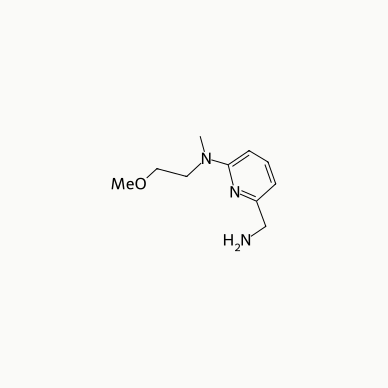 COCCN(C)c1cccc(CN)n1